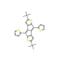 CC(C)(C)c1cc2c(s1)C(c1cccs1)=C1C2=C(c2cccs2)c2sc(C(C)(C)C)cc21